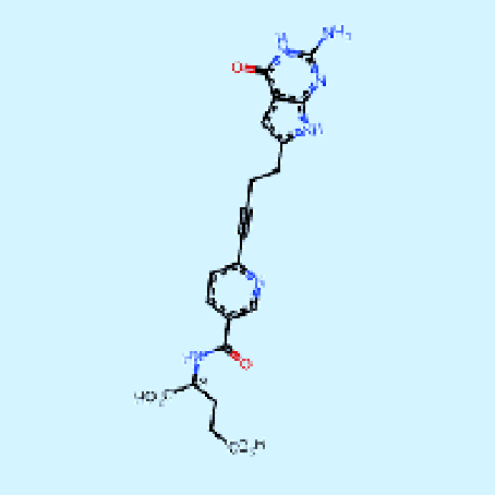 Nc1nc2[nH]c(CCC#Cc3ccc(C(=O)N[C@@H](CCC(=O)O)C(=O)O)cn3)cc2c(=O)[nH]1